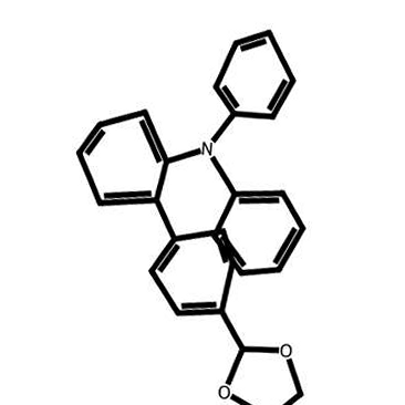 c1ccc(N(c2ccccc2)c2ccccc2-c2ccc(C3OCCO3)cc2)cc1